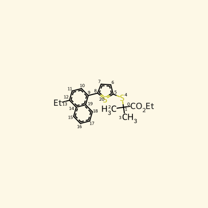 CCOC(=O)C(C)(C)Sc1ccc(-c2ccc(CC)c3ccccc23)s1